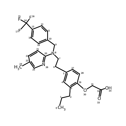 CCCc1cc(CCN(Cc2ccc(C(F)(F)F)cc2)c2ccc(C)cn2)ccc1OCC(=O)O